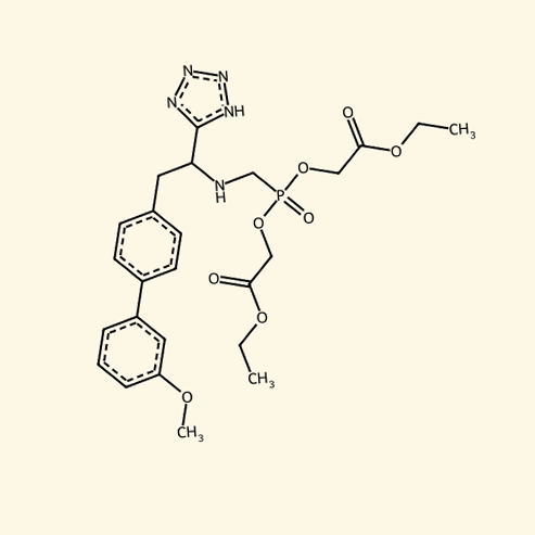 CCOC(=O)COP(=O)(CNC(Cc1ccc(-c2cccc(OC)c2)cc1)c1nnn[nH]1)OCC(=O)OCC